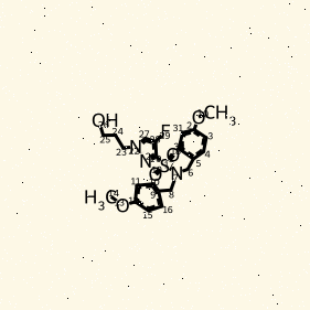 COc1ccc(CN(Cc2ccc(OC)cc2)S(=O)(=O)c2nn(CCCO)cc2F)cc1